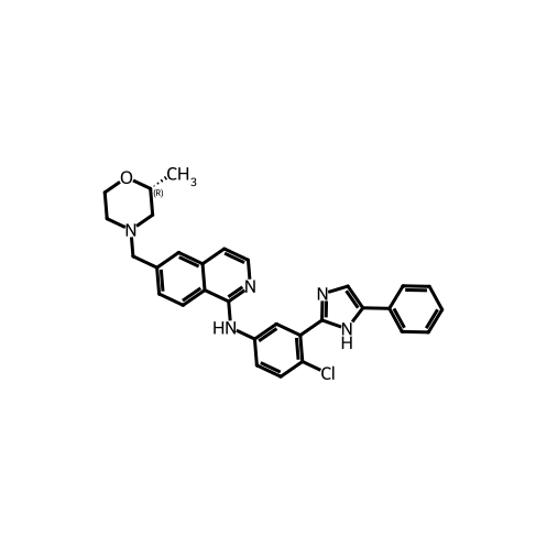 C[C@@H]1CN(Cc2ccc3c(Nc4ccc(Cl)c(-c5ncc(-c6ccccc6)[nH]5)c4)nccc3c2)CCO1